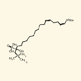 CCCCCC/C=C\CC/C=C\CCCCCCCCCCC(O)(C[N+](C)(C)C)P(=O)(O)O